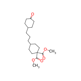 COC(=O)C1(C(=O)OC)CCC(CCCC2CCC(=O)CC2)CC1